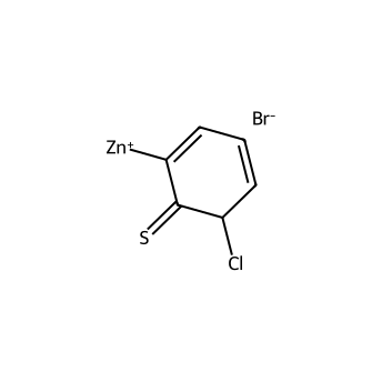 S=C1[C]([Zn+])=CC=CC1Cl.[Br-]